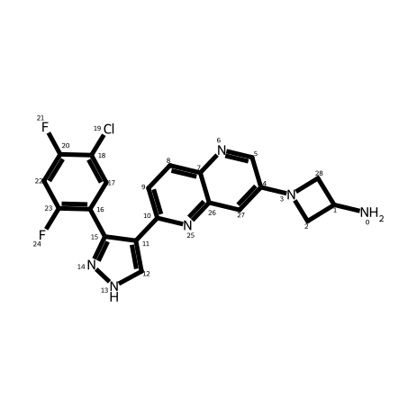 NC1CN(c2cnc3ccc(-c4c[nH]nc4-c4cc(Cl)c(F)cc4F)nc3c2)C1